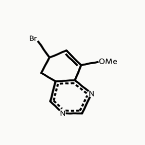 COC1=CC(Br)Cc2cncnc21